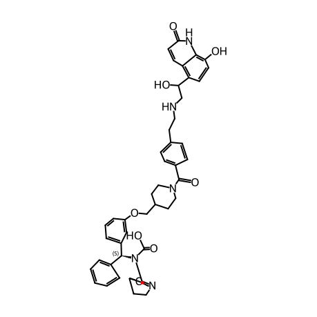 O=C(c1ccc(CCNCC(O)c2ccc(O)c3[nH]c(=O)ccc23)cc1)N1CCC(COc2cccc([C@H](c3ccccc3)N(C(=O)O)C3CN4CCC3CC4)c2)CC1